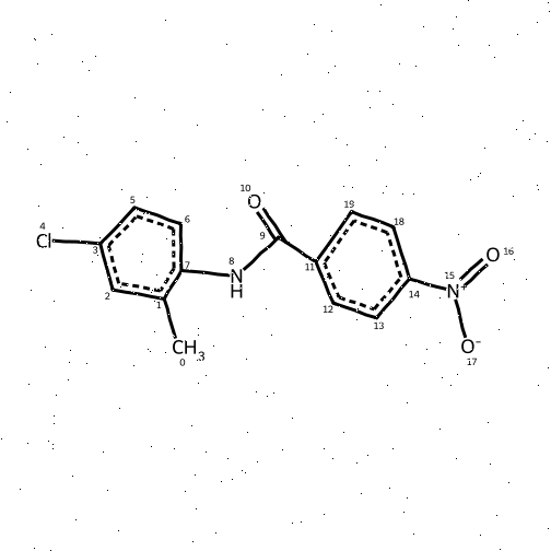 Cc1cc(Cl)ccc1NC(=O)c1ccc([N+](=O)[O-])cc1